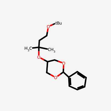 CC(C)(C)OCCC(C)(C)OC1COC(c2ccccc2)OC1